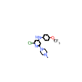 CN1CCN(c2cc(Nc3ccc(OC(F)(F)F)cc3)cc(Cl)n2)CC1